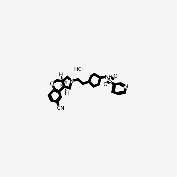 Cl.N#Cc1ccc2c(c1)[C@@H]1CN(CCC3CCC(NS(=O)(=O)c4cccnc4)CC3)C[C@H]1CO2